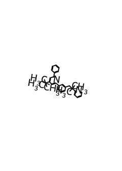 CC(C)(C)c1cc(-c2ccccc2)nc(-c2cccc(CC(C)(C)c3ccccn3)c2)c1